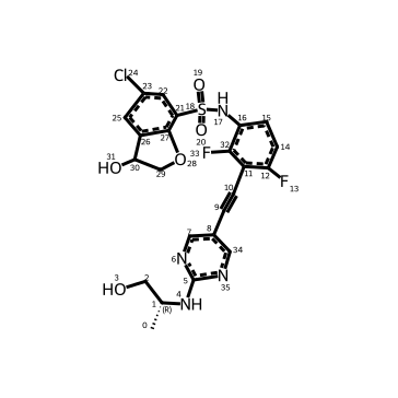 C[C@H](CO)Nc1ncc(C#Cc2c(F)ccc(NS(=O)(=O)c3cc(Cl)cc4c3OCC4O)c2F)cn1